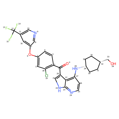 O=C(c1ccc(Oc2cncc(C(F)(F)F)c2)cc1Cl)c1c[nH]c2nccc(N[C@H]3CC[C@@H](CO)CC3)c12